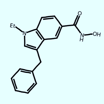 CCn1cc(Cc2ccccc2)c2cc(C(=O)NO)ccc21